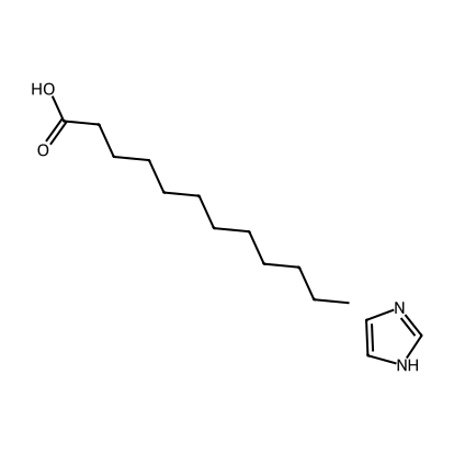 CCCCCCCCCCCC(=O)O.c1c[nH]cn1